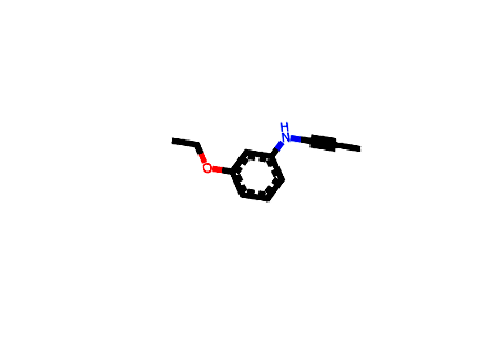 CC#CNc1cccc(OCC)c1